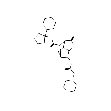 O=C(CN1CCOCC1)OC1C2CC3C1OC(=O)C3C2C(=O)OC1(C2CCCCC2)CCCC1